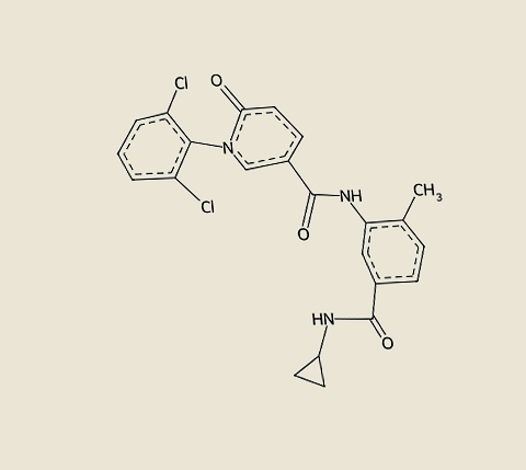 Cc1ccc(C(=O)NC2CC2)cc1NC(=O)c1ccc(=O)n(-c2c(Cl)cccc2Cl)c1